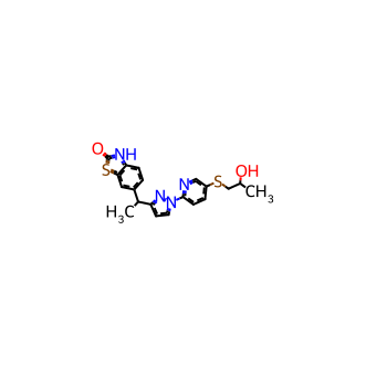 CC(O)CSc1ccc(-n2ccc(C(C)c3ccc4[nH]c(=O)sc4c3)n2)nc1